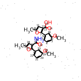 COc1cccc(-c2oc(C)cc2C(=O)O)c1.COc1cccc(-c2oc(C)cc2C(N)=O)c1